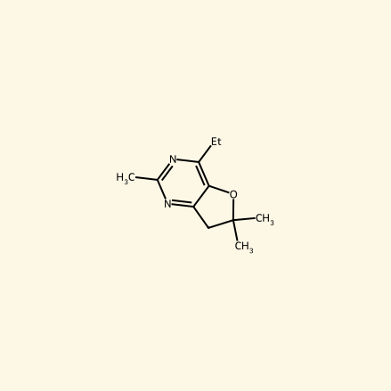 CCc1nc(C)nc2c1OC(C)(C)C2